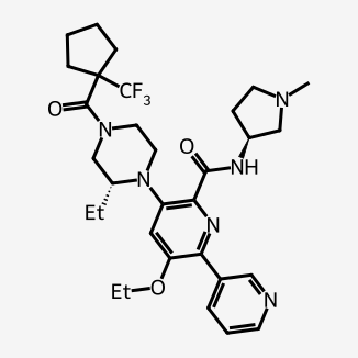 CCOc1cc(N2CCN(C(=O)C3(C(F)(F)F)CCCC3)C[C@H]2CC)c(C(=O)N[C@H]2CCN(C)C2)nc1-c1cccnc1